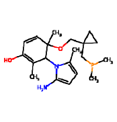 CC1=C(O)C=CC(C)(OCC2(CP(C)C)CC2)C1n1c(C)ccc1N